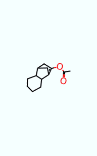 CC(=O)OC1=C2CC(C1)C1CCCCC21